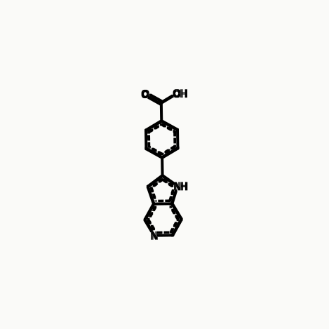 O=C(O)c1ccc(-c2cc3cnccc3[nH]2)cc1